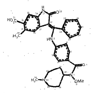 CON(C(=O)c1ccc(N/C(=C2/C(=O)Nc3cc(C(=O)O)c(C)cc32)c2ccccc2)cc1)C1CCN(C)CC1